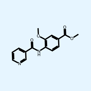 COC(=O)c1ccc(NC(=O)c2cccnc2)c(OC)c1